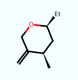 C=C1CO[C@@H](CC)C[C@H]1C